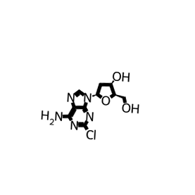 Nc1nc(Cl)nc2c1ncn2[C@@H]1C[C@H](O)[C@@H](CO)O1